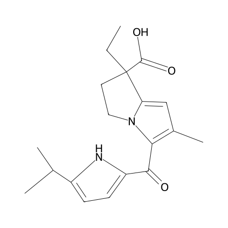 CCC1(C(=O)O)CCn2c1cc(C)c2C(=O)c1ccc(C(C)C)[nH]1